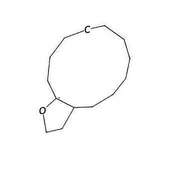 C1CCCCCC2CCO[C]2CCCC1